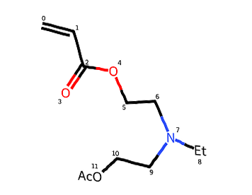 C=CC(=O)OCCN(CC)CCOC(C)=O